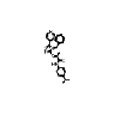 CC(C)C1=CCC(NC(=O)C(C)Sc2nnc(C3C=CN=CC3)n2Cc2ccccc2)C=C1